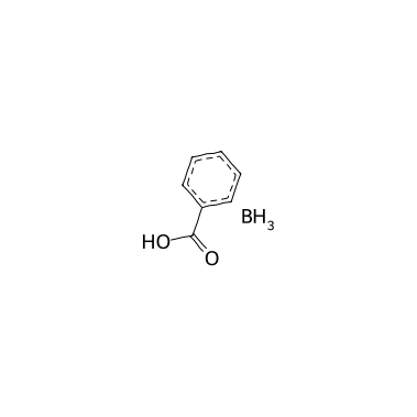 B.O=C(O)c1ccccc1